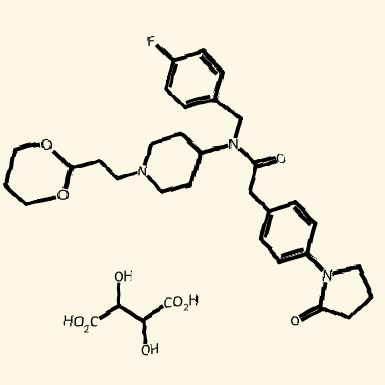 O=C(O)C(O)C(O)C(=O)O.O=C1CCCN1c1ccc(CC(=O)N(Cc2ccc(F)cc2)C2CCN(CCC3OCCCO3)CC2)cc1